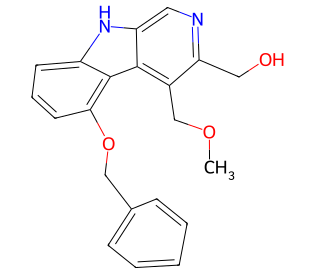 COCc1c(CO)ncc2[nH]c3cccc(OCc4ccccc4)c3c12